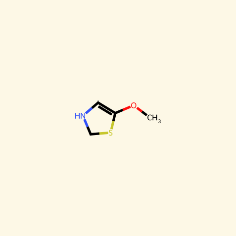 COC1=[C]NCS1